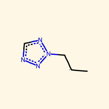 C[CH]Cn1ncnn1